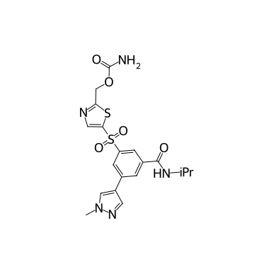 CC(C)NC(=O)c1cc(-c2cnn(C)c2)cc(S(=O)(=O)c2cnc(COC(N)=O)s2)c1